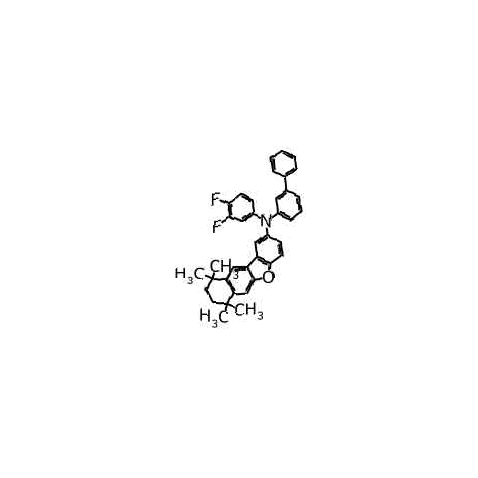 CC1(C)CCC(C)(C)c2cc3c(cc21)oc1ccc(N(c2cccc(-c4ccccc4)c2)c2ccc(F)c(F)c2)cc13